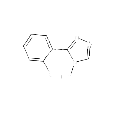 Cn1cnnc1-c1ccccc1C(F)(F)F